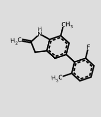 C=C1Cc2cc(-c3c(C)cccc3F)cc(C)c2N1